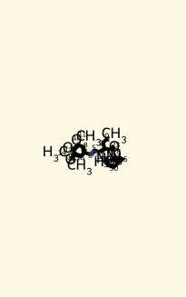 CCCc1c(/C=C/c2cc(OC)c(OC)c(OC)c2)nc2n(c1=O)C1CC1(C(=O)O)C=C2